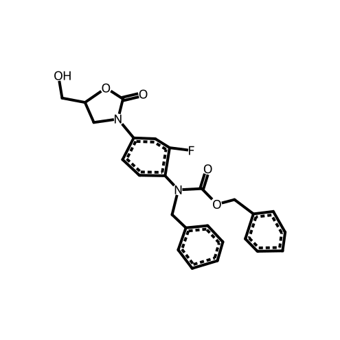 O=C1OC(CO)CN1c1ccc(N(Cc2ccccc2)C(=O)OCc2ccccc2)c(F)c1